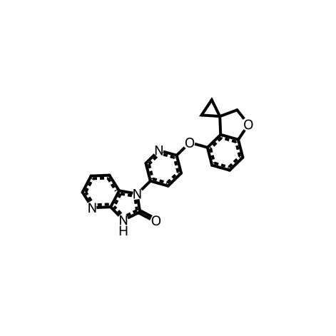 O=c1[nH]c2ncccc2n1-c1ccc(Oc2cccc3c2C2(CC2)CO3)nc1